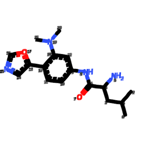 CC(C)CC(N)C(=O)Nc1ccc(-c2cnco2)c(N(C)C)c1